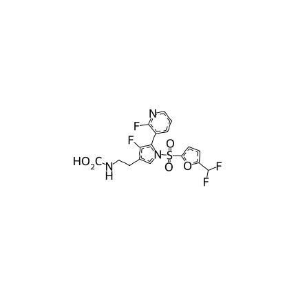 O=C(O)NCCc1cn(S(=O)(=O)c2ccc(C(F)F)o2)c(-c2cccnc2F)c1F